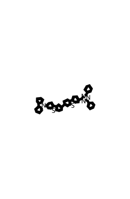 c1ccc(-c2nc(-c3ccccc3)nc(-c3ccc4c(c3)sc3cc(-c5ccc6sc7cc(-n8c9ccccc9c9ccccc98)ccc7c6c5)ccc34)n2)cc1